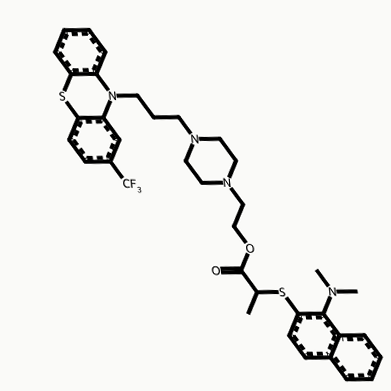 CC(Sc1ccc2ccccc2c1N(C)C)C(=O)OCCN1CCN(CCCN2c3ccccc3Sc3ccc(C(F)(F)F)cc32)CC1